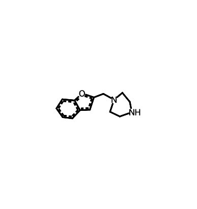 c1ccc2oc(CN3CCNCC3)cc2c1